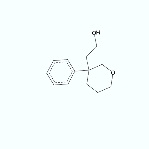 OCCC1(c2ccccc2)CCCOC1